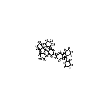 c1ccc(-n2c3ccccc3c3cc(-c4ccc(C5(c6ccccc6)c6ccccc6-c6ccccc65)cc4)ccc32)cc1